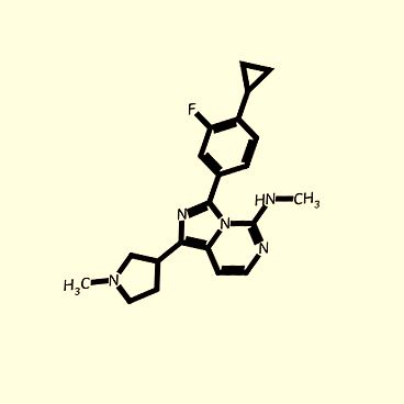 CNc1nccc2c(C3CCN(C)C3)nc(-c3ccc(C4CC4)c(F)c3)n12